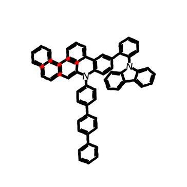 c1ccc(-c2ccc(-c3ccc(N(c4ccc(-c5ccccc5)cc4)c4ccc(-c5ccccc5-n5c6ccccc6c6ccccc65)cc4-c4cccc(-c5ccccc5)c4)cc3)cc2)cc1